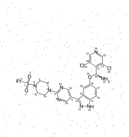 CC(C)S(=O)(=O)N1CCN(c2ncc(-c3n[nH]c4ccc(O[C@H](N)c5c(Cl)cncc5Cl)cc34)cn2)CC1